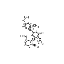 COc1ccc(N)cc1F.Cc1c(N)cccc1CO.Cc1cccc(CO)c1